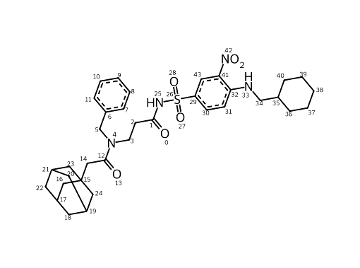 O=C(CCN(Cc1ccccc1)C(=O)CC12CC3CC(CC(C3)C1)C2)NS(=O)(=O)c1ccc(NCC2CCCCC2)c([N+](=O)[O-])c1